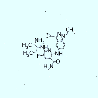 CC[C@@H](Nc1nc(Nc2ccc3c(c2)c(C2CC2)nn3CC)c(C(N)=O)cc1F)[C@H](C)N